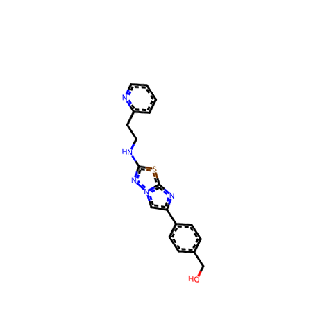 OCc1ccc(-c2cn3nc(NCCc4ccccn4)sc3n2)cc1